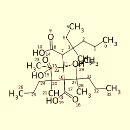 CCCC(C)(CC)C(C(=O)O)C(O)(C(=O)O)C(C(=O)O)(C(C)(CC)CCC)C(C)(CC)CCC